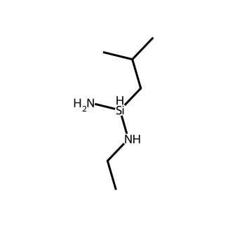 CCN[SiH](N)CC(C)C